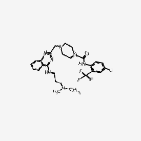 CN(C)CCCNc1nc(CN2CCN(C(=O)Nc3ccc(Cl)cc3C(F)(F)F)CC2)nc2ccccc12